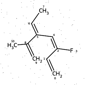 C=C/C(F)=C\C(=C/C)C(=C)C